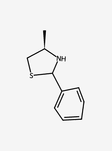 C[C@@H]1CSC(c2ccccc2)N1